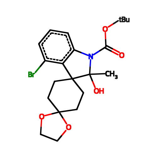 CC(C)(C)OC(=O)N1c2cccc(Br)c2C2(CCC3(CC2)OCCO3)C1(C)O